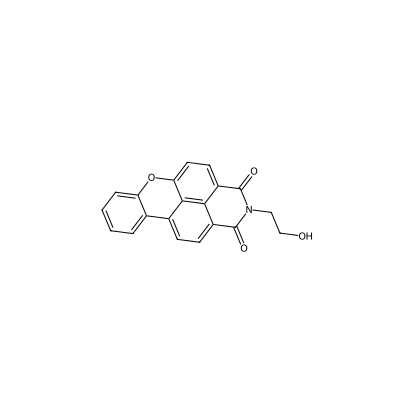 O=c1c2ccc3oc4ccccc4c4ccc(c(=O)n1CCO)c2c34